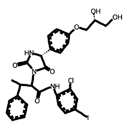 CC(c1ccccc1)C(C(=O)Nc1ccc(I)cc1Cl)N1C(=O)N[C@H](c2ccc(OC[C@H](O)CO)cc2)C1=O